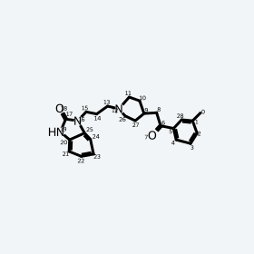 Cc1cccc(C(=O)CC2CCN(CCCn3c(=O)[nH]c4ccccc43)CC2)c1